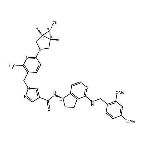 COc1ccc(CNc2nccc3c2CC[C@H]3NC(=O)c2cnn(Cc3ccc(N4C[C@@H]5[C@H](C#N)[C@@H]5C4)nc3C)c2)c(OC)c1